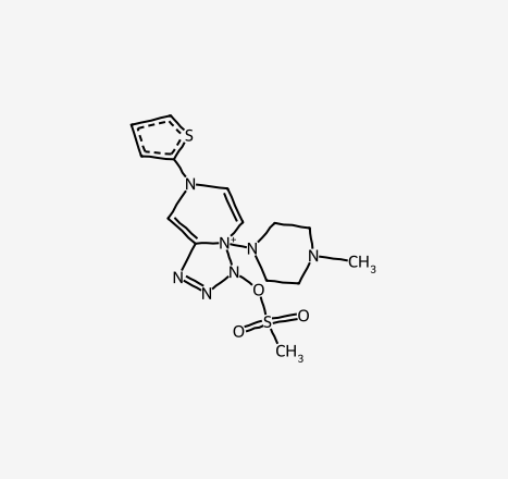 CN1CCN([N+]23C=CN(c4cccs4)C=C2N=NN3OS(C)(=O)=O)CC1